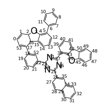 C1=CC2Oc3c(-c4ccccc4)cccc3C2C(c2cccc(-c3nc(-c4ccc5ccccc5c4)nc(-c4cccc5c4oc4ccccc45)n3)c2)=C1